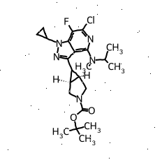 CC(C)N(C)c1nc(Cl)c(F)c2c1c(C1[C@H]3CN(C(=O)OC(C)(C)C)C[C@@H]13)nn2C1CC1